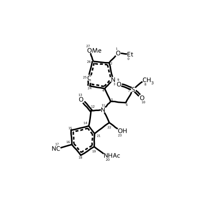 CCOc1nc(C(CS(C)(=O)=O)N2C(=O)c3cc(C#N)cc(NC(C)=O)c3C2O)ccc1OC